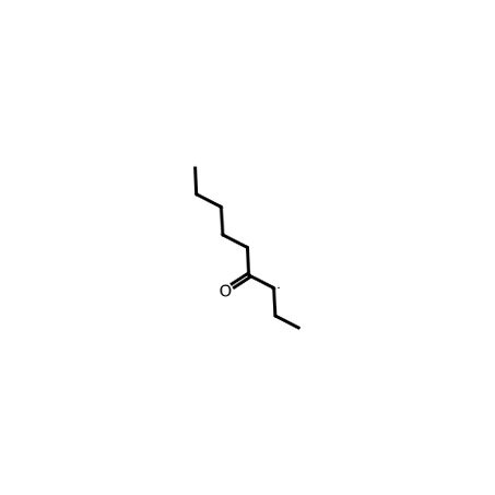 CC[CH]C(=O)CCCCC